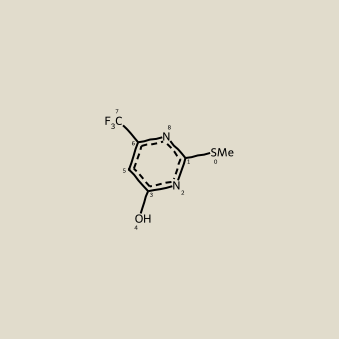 CSc1nc(O)cc(C(F)(F)F)n1